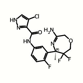 C[C@]1(c2cc(NC(=O)c3n[nH]cc3Cl)ccc2F)N=C(N)COCC1(F)F